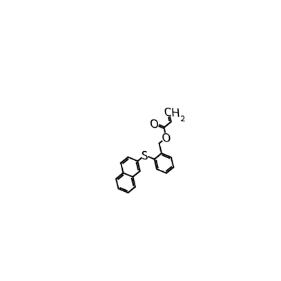 C=CC(=O)OCc1ccccc1Sc1ccc2ccccc2c1